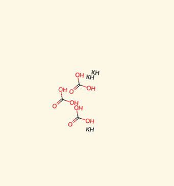 O=C(O)O.O=C(O)O.O=C(O)O.[KH].[KH].[KH]